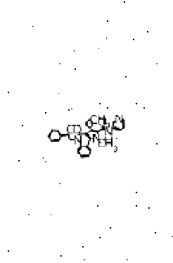 COc1c(C(=O)Nc2cccnc2)n(C)c2c1c(=O)n(CC(=O)c1ccccc1)c1ccccc21